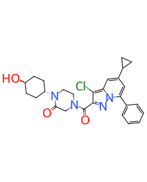 O=C(c1nn2c(-c3ccccc3)cc(C3CC3)cc2c1Cl)N1CCN([C@H]2CC[C@H](O)CC2)C(=O)C1